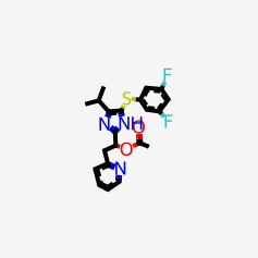 CC(=O)OC(Cc1ccccn1)c1nc(C(C)C)c(Sc2cc(F)cc(F)c2)[nH]1